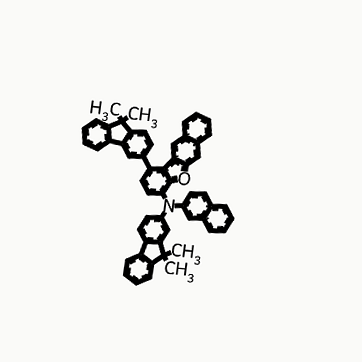 CC1(C)c2ccccc2-c2cc(-c3ccc(N(c4ccc5c(c4)C(C)(C)c4ccccc4-5)c4ccc5ccccc5c4)c4oc5cc6ccccc6cc5c34)ccc21